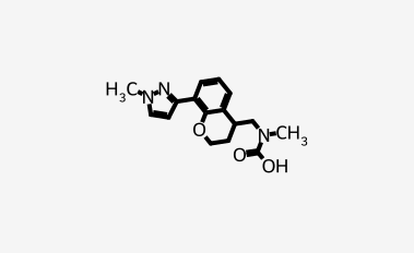 CN(CC1CCOc2c(-c3ccn(C)n3)cccc21)C(=O)O